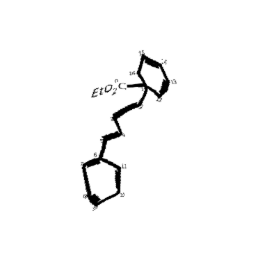 CCOC(=O)C1(C=CC=Cc2ccccc2)C=CC=CC1